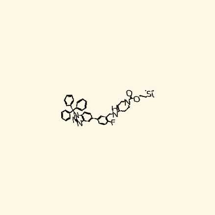 C[Si](C)(C)CCOC(=O)N1CCC(NCc2cc(-c3ccc4c(c3)nnn4C(c3ccccc3)(c3ccccc3)c3ccccc3)ccc2F)CC1